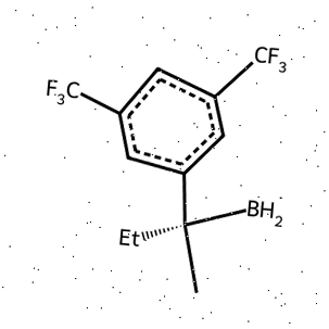 B[C@](C)(CC)c1cc(C(F)(F)F)cc(C(F)(F)F)c1